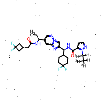 [2H]C([2H])([2H])C([2H])([2H])n1nccc1C(=O)N[C@H](c1cn2ncc([C@H](CC)NC(=O)CC3CC(F)(F)C3)cc2n1)C1CCC(F)(F)CC1